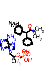 CN(C)C(=O)C(c1ccccc1)c1ccccc1.C[C@H](Cn1cnc2c(N)ncnc21)OCP(=O)(O)O.[NaH].[NaH]